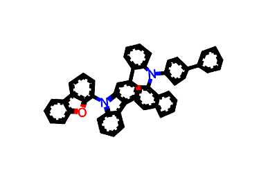 c1ccc(-c2ccc(N(c3ccccc3-c3ccc4c5ccccc5n(-c5cccc6c5oc5ccccc56)c4c3)c3cccc4ccccc34)cc2)cc1